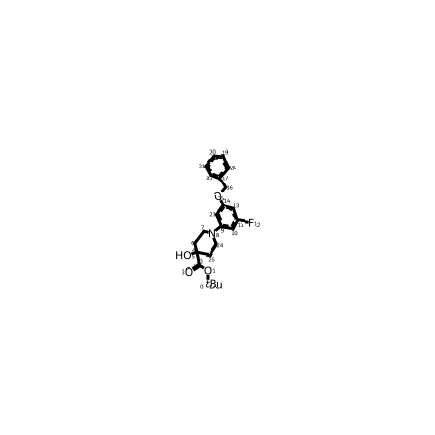 CC(C)(C)OC(=O)C1(O)CCN(c2cc(F)cc(OCc3ccccc3)c2)CC1